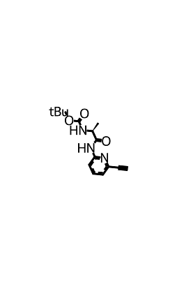 C#Cc1cccc(NC(=O)[C@H](C)NC(=O)OC(C)(C)C)n1